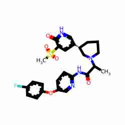 CC(C(=O)Nc1ccc(Oc2ccc(F)cc2)cn1)N1CCC[C@@H](c2c[nH]c(=O)c(S(C)(=O)=O)c2)C1